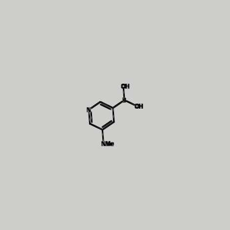 CNc1cncc(B(O)O)c1